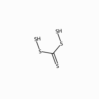 S=C(SS)SS